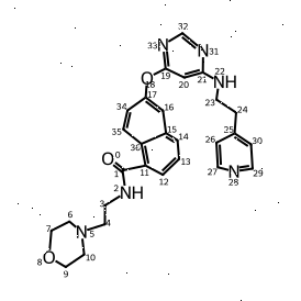 O=C(NCCN1CCOCC1)c1cccc2cc(Oc3cc(NCCc4ccncc4)ncn3)ccc12